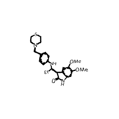 CCC(Nc1ccc(CN2CCSCC2)cc1)=C1C(=O)Nc2cc(OC)c(OC)cc21